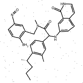 Bc1ccc(N=O)cc1CN(C)C(=O)C(Nc1ccc2cc[nH]c(=O)c2c1)c1ccc([C@@H](C)CCC)c(C)c1